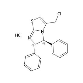 Cl.ClCC1=CSC2=N[C@@H](c3ccccc3)[C@H](c3ccccc3)N12